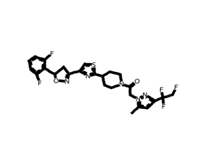 Cc1cc(C(F)(F)CF)nn1CC(=O)N1CCC(c2nc(C3=NOC(c4c(F)cccc4F)C3)cs2)CC1